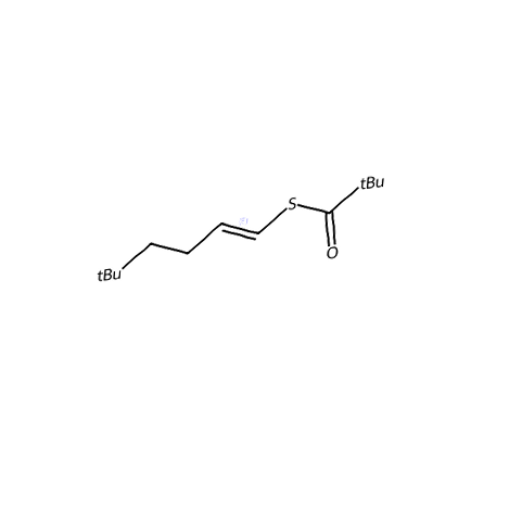 CC(C)(C)CC/C=C/SC(=O)C(C)(C)C